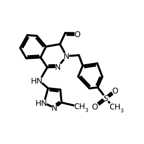 Cc1cc(NC2=NN(Cc3ccc(S(C)(=O)=O)cc3)C(C=O)c3ccccc32)[nH]n1